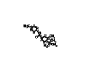 Cc1ccc(OC(=O)c2ccc(C(C)(C)C)c(C)c2)cn1